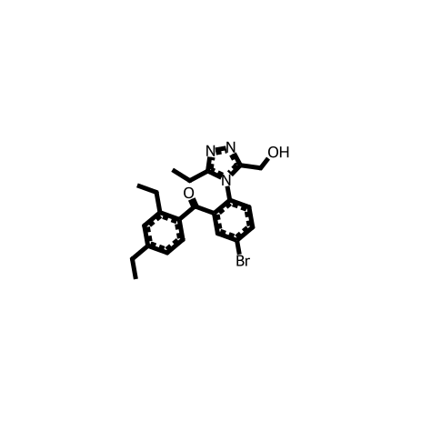 CCc1ccc(C(=O)c2cc(Br)ccc2-n2c(CC)nnc2CO)c(CC)c1